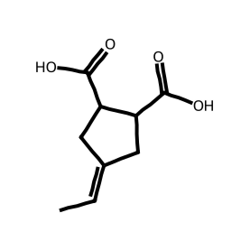 CC=C1CC(C(=O)O)C(C(=O)O)C1